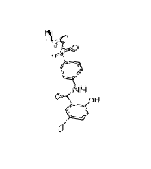 CS(=O)(=O)c1ccc(NC(=O)c2cc(Cl)ccc2O)cc1